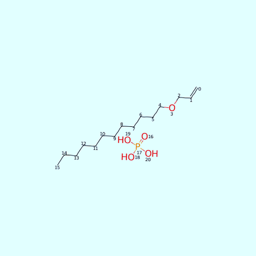 C=CCOCCCCCCCCCCCC.O=P(O)(O)O